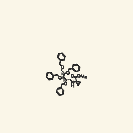 COC(=O)C1(NC[C@H](OCc2ccccc2)[C@H](OCc2ccccc2)[C@@H](COCc2ccccc2)OCc2ccccc2)CC1